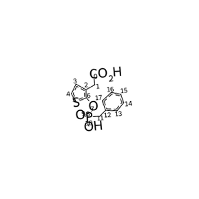 O=C(O)Cc1ccsc1OP(=O)(O)Cc1ccccc1